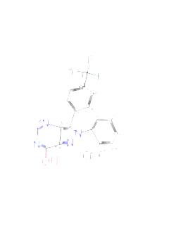 Oc1ncnc2c(-c3ccc(C(F)(F)F)cc3)n(-c3ccccc3Cl)nc12